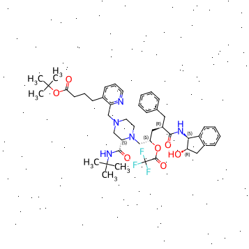 CC(C)(C)NC(=O)[C@@H]1CN(Cc2ncccc2CCCC(=O)OC(C)(C)C)CCN1C[C@H](C[C@@H](Cc1ccccc1)C(=O)N[C@H]1c2ccccc2C[C@H]1O)OC(=O)C(F)(F)F